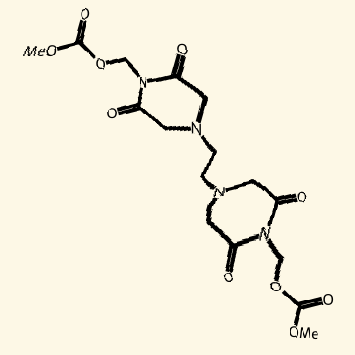 COC(=O)OCN1C(=O)CN(CCN2CC(=O)N(COC(=O)OC)C(=O)C2)CC1=O